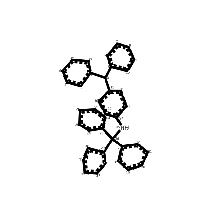 c1ccc([C](c2ccccc2)c2ccc(NC(c3ccccc3)(c3ccccc3)c3ccccc3)cc2)cc1